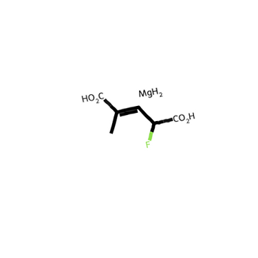 CC(=CC(F)C(=O)O)C(=O)O.[MgH2]